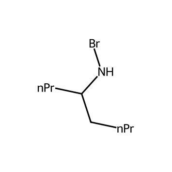 CCCCC(CCC)NBr